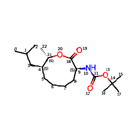 CC(C)C[C@@H]1CCCC[C@H](NC(=O)OC(C)(C)C)C(=O)O[C@H]1C